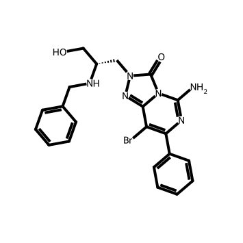 Nc1nc(-c2ccccc2)c(Br)c2nn(C[C@@H](CO)NCc3ccccc3)c(=O)n12